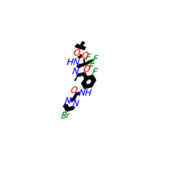 C[C@H]1N=C(NC(=O)OC(C)(C)C)[C@](C)(C(F)(F)F)OC1c1cc(NC(=O)c2ncc(Br)cn2)ccc1F